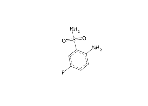 Nc1ccc(F)cc1S(N)(=O)=O